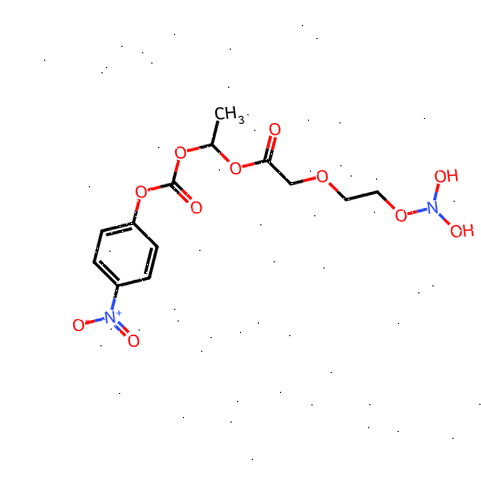 CC(OC(=O)COCCON(O)O)OC(=O)Oc1ccc([N+](=O)[O-])cc1